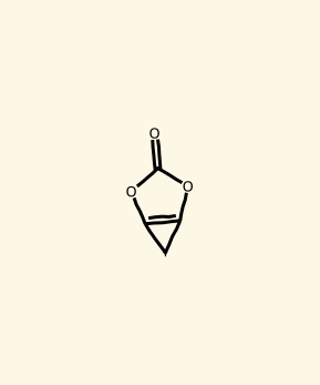 O=c1oc2c(o1)[CH]2